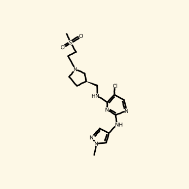 Cn1cc(Nc2ncc(Cl)c(NC[C@H]3CCN(CCS(C)(=O)=O)C3)n2)cn1